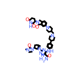 CN1CCN(C2CC3CC2N(c2nnc(C(N)=O)c(Nc4ccc(C5CCN(CC6CCN(c7ccc8c(c7)C(=O)N(C7CCC(=O)NC7=O)C8)CC6)CC5)cc4)n2)C3)C1=O